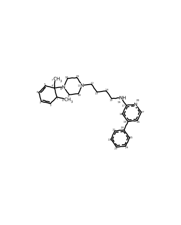 CC1C=CC=CC1(C)N1CCN(CCCCNc2cc(-c3ccccc3)ccn2)CC1